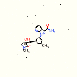 Cc1cc(C#C[C@]2(O)CCN(C)C2=O)cc(-n2nc(C(N)=O)c3cccnc32)c1